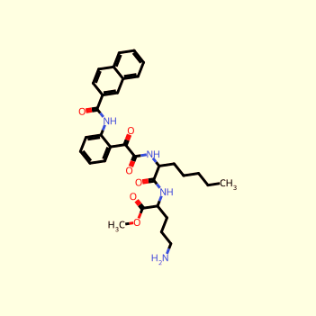 CCCCCC(NC(=O)C(=O)c1ccccc1NC(=O)c1ccc2ccccc2c1)C(=O)NC(CCCN)C(=O)OC